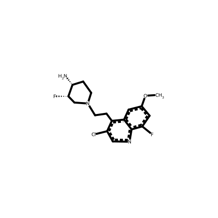 COc1cc(F)c2ncc(Cl)c(CCN3CC[C@@H](N)[C@@H](F)C3)c2c1